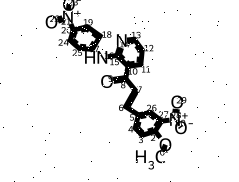 COc1ccc(C=CC(=O)c2cccnc2Nc2ccc([N+](=O)[O-])cc2)cc1[N+](=O)[O-]